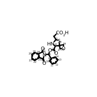 O=C(O)CC1NC(C(=O)OC(c2ccccc2)N2C(=O)c3ccccc3C2=O)C2(COC2)S1